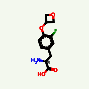 N[C@@H](Cc1ccc(OC2COC2)c(F)c1)C(=O)O